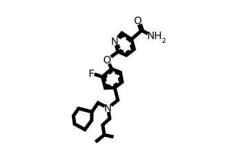 CC(C)CCN(Cc1ccc(Oc2ccc(C(N)=O)cn2)c(F)c1)CC1CCCCC1